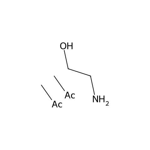 CC(C)=O.CC(C)=O.NCCO